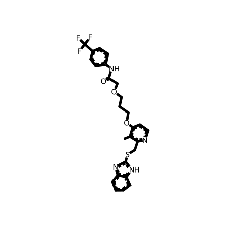 Cc1c(OCCCOCC(=O)Nc2ccc(C(F)(F)F)cc2)ccnc1CSc1nc2ccccc2[nH]1